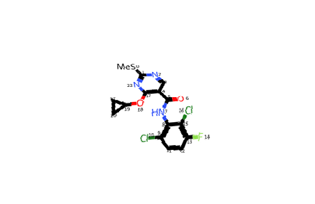 CSc1ncc(C(=O)Nc2c(Cl)ccc(F)c2Cl)c(OC2CC2)n1